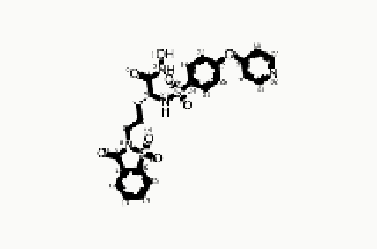 O=C(NO)[C@@H](CCCN1C(=O)c2ccccc2S1(=O)=O)NS(=O)(=O)c1ccc(Oc2ccncc2)cc1